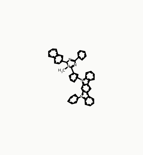 CN1C(c2cccc(-n3c4ccccc4c4cc5c6ccccc6n(-c6ccccc6)c5cc43)c2)=NC(c2ccccc2)=NC1c1ccc2ccccc2c1